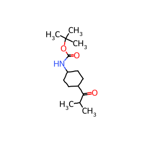 CC(C)C(=O)C1CCC(NC(=O)OC(C)(C)C)CC1